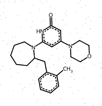 Cc1ccccc1CC1CCCCCN1c1cc(N2CCOCC2)cc(=O)[nH]1